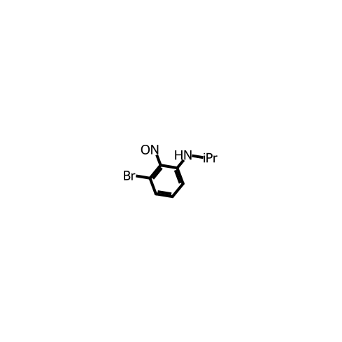 CC(C)Nc1cccc(Br)c1N=O